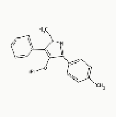 CCCOc1c(-c2ccc(C)cc2)nn(C)c1-c1ccccc1